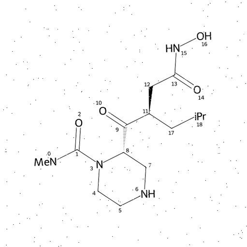 CNC(=O)N1CCNC[C@H]1C(=O)[C@@H](CC(=O)NO)CC(C)C